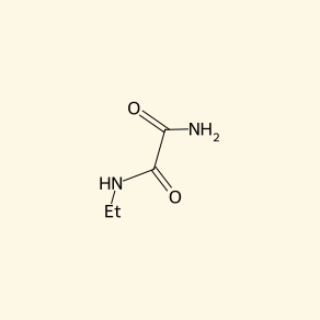 CCNC(=O)C(N)=O